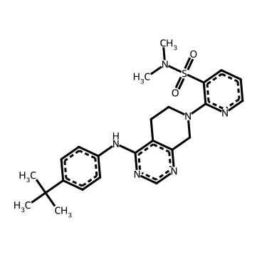 CN(C)S(=O)(=O)c1cccnc1N1CCc2c(ncnc2Nc2ccc(C(C)(C)C)cc2)C1